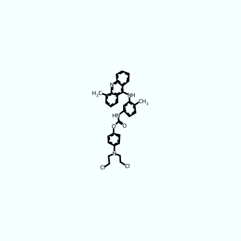 Cc1ccc(NC(=O)Oc2ccc(N(CCCl)CCCl)cc2)cc1Nc1c2ccccc2nc2c(C)cccc12